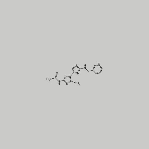 CC(=O)Nc1nc(C)c(-c2csc(NCc3cccnc3)n2)s1